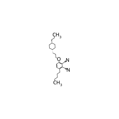 CCCCCc1ccc(OCCC[C@H]2CC[C@H](CCC)CC2)c(C#N)c1C#N